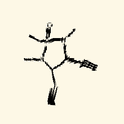 C#CC1C(C#C)N(C)P(C)(=O)N1C